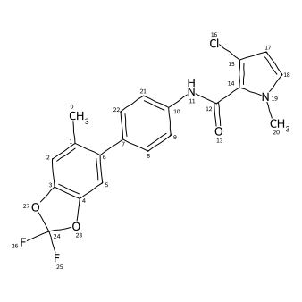 Cc1cc2c(cc1-c1ccc(NC(=O)c3c(Cl)ccn3C)cc1)OC(F)(F)O2